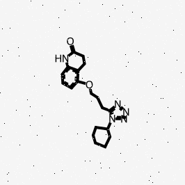 O=C1CCc2c(cccc2OCCCc2nnnn2C2CCCCC2)N1